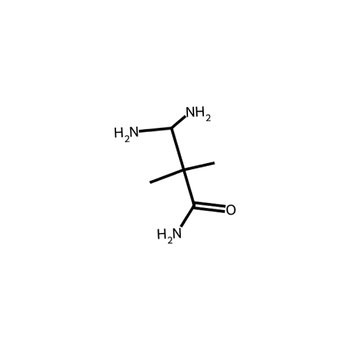 CC(C)(C(N)=O)C(N)N